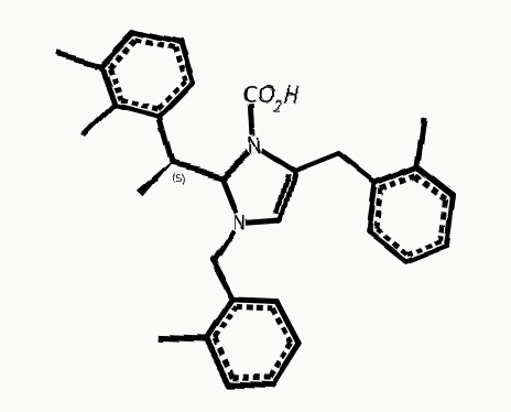 Cc1ccccc1CC1=CN(Cc2ccccc2C)C([C@@H](C)c2cccc(C)c2C)N1C(=O)O